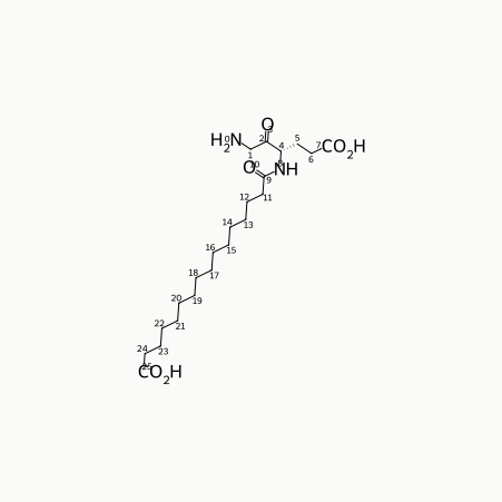 NCC(=O)[C@H](CCC(=O)O)NC(=O)CCCCCCCCCCCCCCC(=O)O